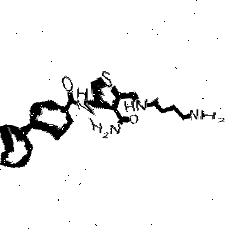 NCCCCNCc1scc(NC(=O)c2ccc(-c3ccccc3)cc2)c1C(N)=O